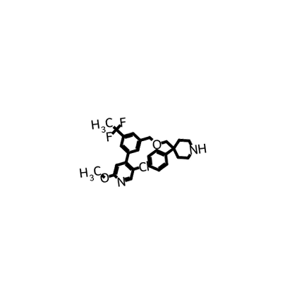 COc1cc(-c2cc(COCC3(c4ccccc4)CCNCC3)cc(C(C)(F)F)c2)c(Cl)cn1